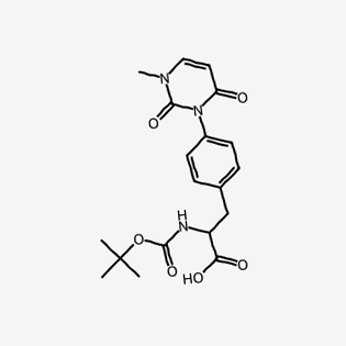 Cn1ccc(=O)n(-c2ccc(CC(NC(=O)OC(C)(C)C)C(=O)O)cc2)c1=O